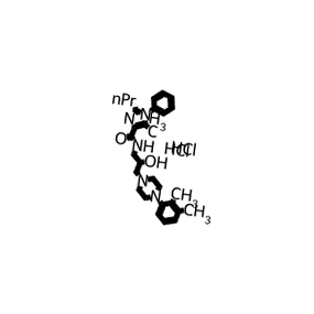 CCCc1nc(C(=O)NCC(O)CN2CCN(c3cccc(C)c3C)CC2)c(C)n1-c1ccccc1.Cl.Cl